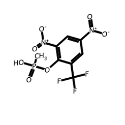 CP(=O)(O)Oc1c([N+](=O)[O-])cc([N+](=O)[O-])cc1C(F)(F)F